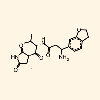 CC(C)[C@H](NC(=O)CC(N)c1ccc2c(c1)OCC2)C(=O)[C@@H]1C(=O)NC(=O)[C@H]1C